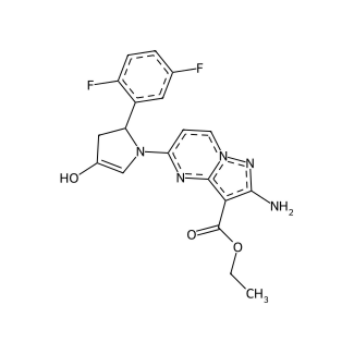 CCOC(=O)c1c(N)nn2ccc(N3C=C(O)CC3c3cc(F)ccc3F)nc12